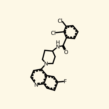 O=C(NC1CCN(c2ccnc3ccc(F)cc23)CC1)c1cccc(Cl)c1Cl